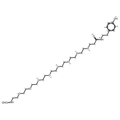 O=CNCCOCCOCCOCCOCCOCCOCCOCCOCCC(=O)NCCc1ccc(O)cc1